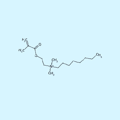 C=C(C)C(=O)OCC[N+](C)(C)CCCCCCCC